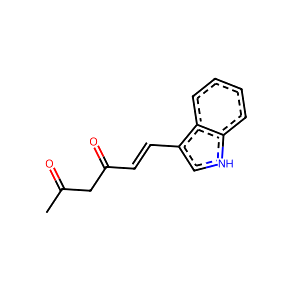 CC(=O)CC(=O)C=Cc1c[nH]c2ccccc12